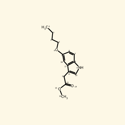 CCCCOc1ccc2[nH]cc(CC(=O)OC)c2c1